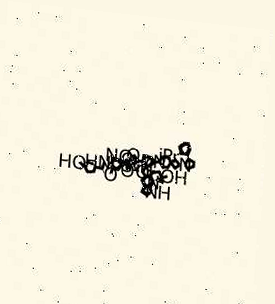 CC(C)c1ccccc1[C@H]1CCCN1C1CC2(CCN(c3ccc(C(=O)NS(=O)(=O)c4cc5c(c([N+](=O)[O-])c4)N[C@@H]([C@H]4CC[C@](C)(O)CC4)CO5)c(Oc4cc5cc[nH]c5nc4CCC4(O)CC4)c3)CC2)C1